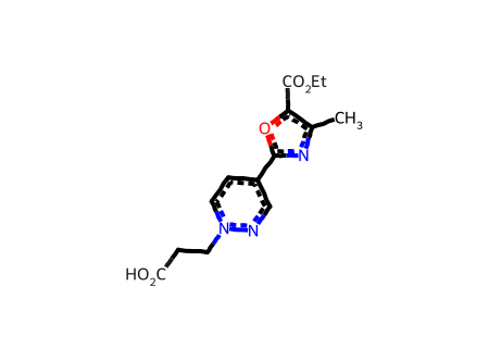 CCOC(=O)c1oc(-c2cc[n+](CCC(=O)O)nc2)nc1C